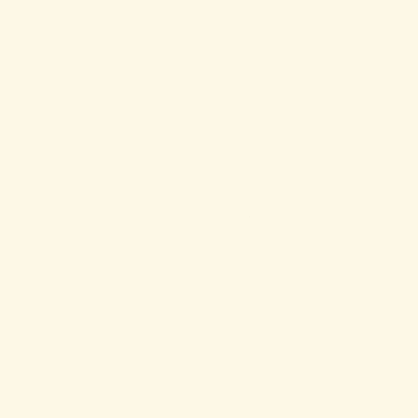 Cc1ccc(CC(CS)c2ccc(C)cc2)cc1